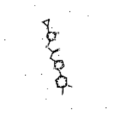 O=C(Cc1ccn(-c2ccc(F)c(F)c2)n1)Nc1cc(C2CC2)[nH]n1